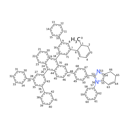 CC1CC=CC=C1c1cc(-c2ccccc2)cc(-c2c3ccccc3c(-c3cc(-c4ccccc4)cc(-c4ccccc4)c3)c3ccc(-c4ccc(-c5nc6c(n5-c5ccccc5)C=CCC6)cc4)cc23)c1